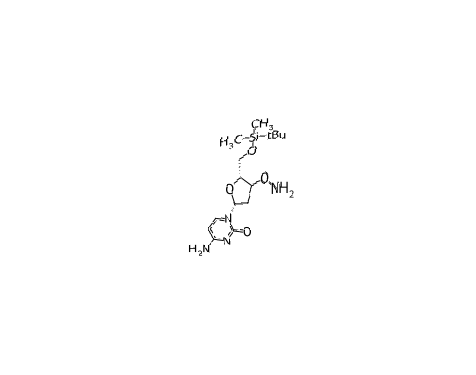 CC(C)(C)[Si](C)(C)OC[C@H]1O[C@@H](n2ccc(N)nc2=O)CC1ON